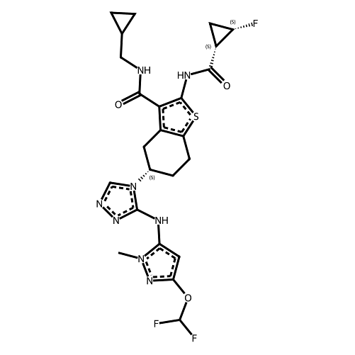 Cn1nc(OC(F)F)cc1Nc1nncn1[C@H]1CCc2sc(NC(=O)[C@@H]3C[C@@H]3F)c(C(=O)NCC3CC3)c2C1